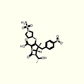 C[C@@H](O)[C@H]1C(=O)N2C(C(=O)O)=C(S[C@H]3CCN(S(N)(=O)=O)C3)[C@](C)(Cc3ccc([N+](=O)[O-])cc3)[C@H]12